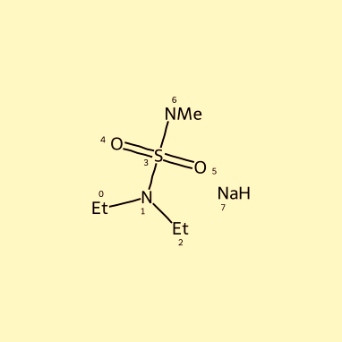 CCN(CC)S(=O)(=O)NC.[NaH]